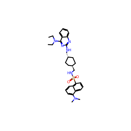 CCN(CC)c1nc(NC[C@H]2CC[C@H](CNS(=O)(=O)c3cccc4c(N(C)C)cccc34)CC2)nc2ccccc12